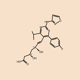 CC(C)c1nc(Nc2ccon2)nc(-c2ccc(F)cc2)c1/C=C/[C@@H](O)C[C@@H](O)CC(=O)O